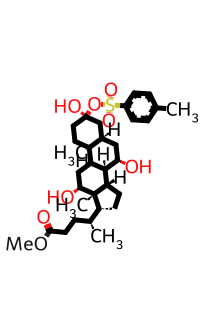 COC(=O)CC[C@@H](C)[C@H]1CC[C@H]2[C@@H]3[C@H](O)C[C@@H]4C[C@@](O)(OS(=O)(=O)c5ccc(C)cc5)CC[C@]4(C)[C@H]3C[C@H](O)[C@]12C